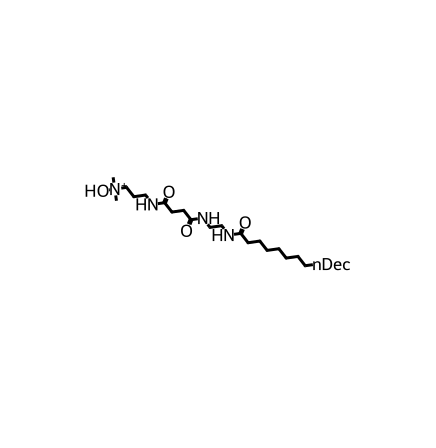 CCCCCCCCCCCCCCCCCC(=O)NCCNC(=O)CCC(=O)NCCC[N+](C)(C)O